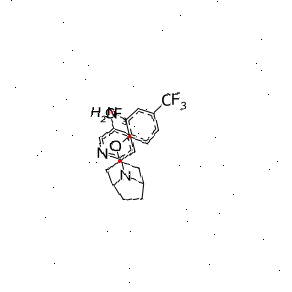 Nc1cc(C(F)(F)F)ccc1OC1CC2CCC(C1)N2c1ccc(C(F)(F)F)cn1